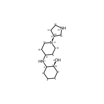 O[C@H]1CCCCC1NC1CCN([C@H]2CCNC2)CC1